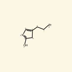 CC(C)CCC1=CN=C(O)C1